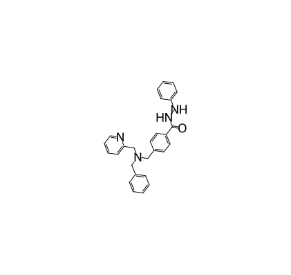 O=C(NNc1ccccc1)c1ccc(CN(Cc2ccccc2)Cc2ccccn2)cc1